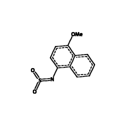 COc1ccc(N=S(=O)=O)c2ccccc12